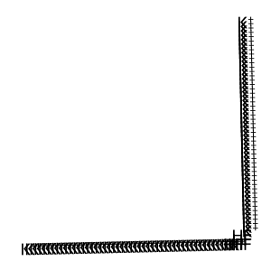 F.F.F.F.F.[K+].[K+].[K+].[K+].[K+].[K+].[K+].[K+].[K+].[K+].[K+].[K+].[K+].[K+].[K+].[K+].[K+].[K+].[K+].[K+].[K+].[K+].[K+].[K+].[K+].[K+].[K+].[K+].[K+].[K+].[K+].[K+].[K+].[K+].[K+].[K+].[K+].[K+].[K+].[K+].[K+].[K+].[K+].[K+].[K+].[K+].[K+].[K+].[K+].[K+].[K+].[K+].[K+].[K+].[K+].[K+].[K+].[K+].[K+].[K+].[K+].[K+].[K+].[K+].[K+].[K+].[K+].[K+].[K+].[K+].[K+].[K+].[K+].[K+].[K+].[K+].[K+].[K+].[K+].[K+].[K+].[K+].[K+].[K+].[K+].[K+].[K+].[K+].[K+].[K+].[K+].[K+].[K+].[K+].[K+].[K+].[K+].[K+]